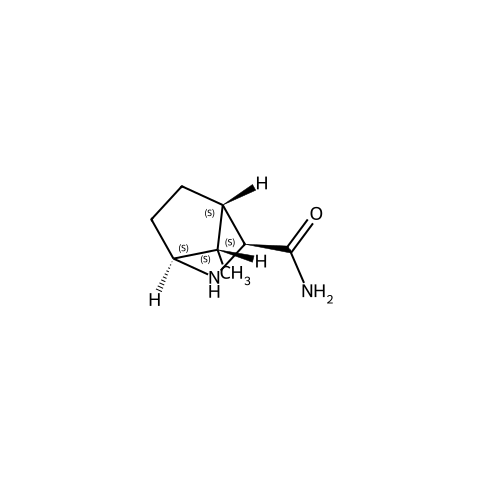 C[C@H]1[C@@H]2CC[C@@H]1N[C@@H]2C(N)=O